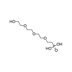 O=P(O)(O)CCOCCOCCOCCO